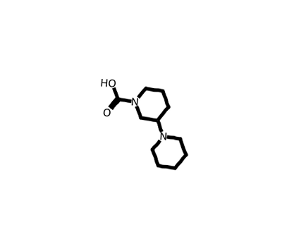 O=C(O)N1CCCC(N2CCCCC2)C1